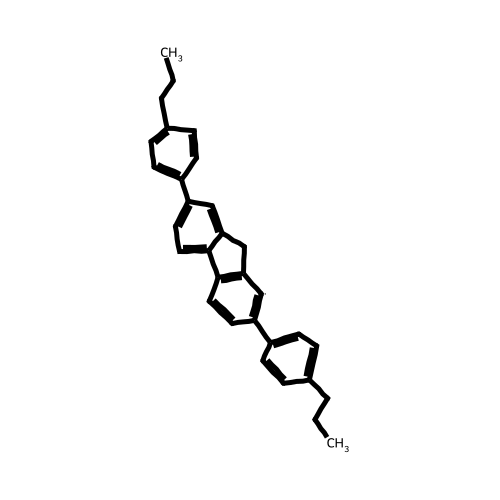 CCCc1ccc(-c2[c]c3c(cc2)-c2ccc(-c4ccc(CCC)cc4)cc2C3)cc1